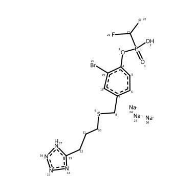 O=P(O)(Oc1ccc(CSCCCc2nnn[nH]2)cc1Br)C(F)F.[Na].[Na].[Na]